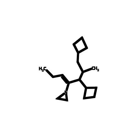 CC/C=C(/C(C(C)CC1CCC1)C1CCC1)N1CC1